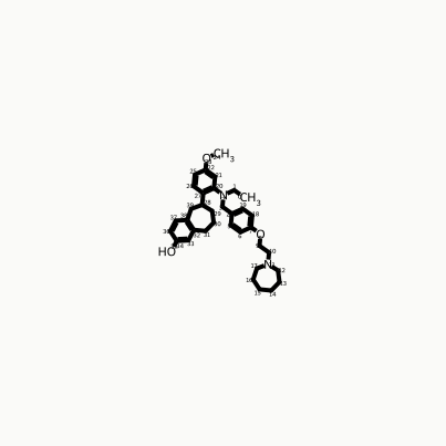 CCN(Cc1ccc(OCCN2CCCCCC2)cc1)c1cc(OC)ccc1C1CCCc2cc(O)ccc2C1